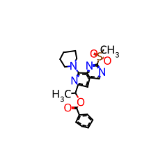 CC(OC(=O)c1ccccc1)c1cc2cnc(S(C)(=O)=O)nc2c(N2CCCCC2)n1